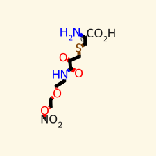 N[C@@H](CSCC(=O)C(=O)NCCOCCO[N+](=O)[O-])C(=O)O